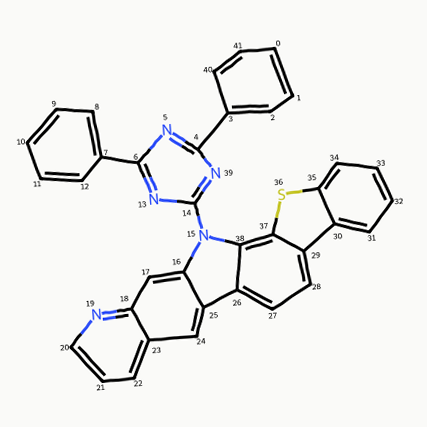 c1ccc(-c2nc(-c3ccccc3)nc(-n3c4cc5ncccc5cc4c4ccc5c6ccccc6sc5c43)n2)cc1